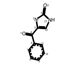 O=C1[N]C(C(=O)c2ccccc2)=CN1